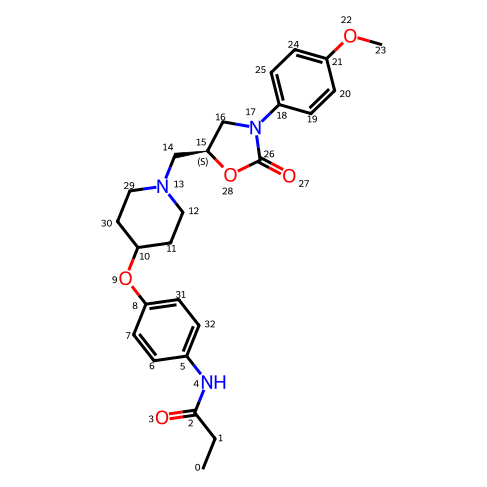 CCC(=O)Nc1ccc(OC2CCN(C[C@H]3CN(c4ccc(OC)cc4)C(=O)O3)CC2)cc1